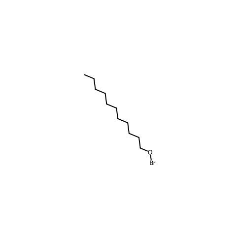 CCCCCCCCCCCOBr